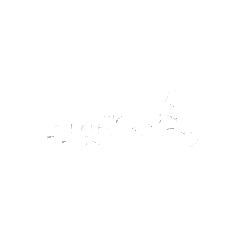 C[C@]12CCC(=O)C=C1CC[C@@H]1C2=CC[C@@]2(C)[C@H]1CC[C@]2(O)C(=O)CN1CCN(c2cc(N3CCOCC3)nc(N3CCOCC3)n2)CC1